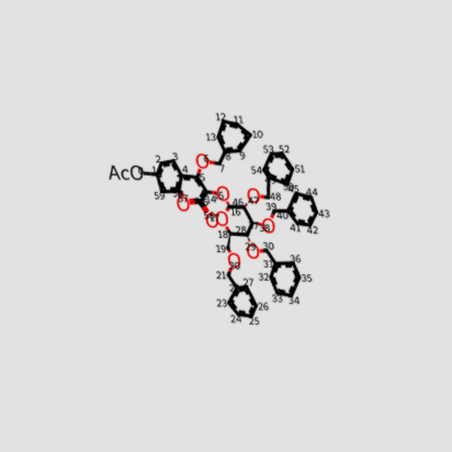 CC(=O)Oc1ccc2c(OCc3ccccc3)c(O[C@@H]3O[C@H](COCc4ccccc4)[C@@H](OCc4ccccc4)[C@H](OCc4ccccc4)[C@H]3OCc3ccccc3)c(=O)oc2c1